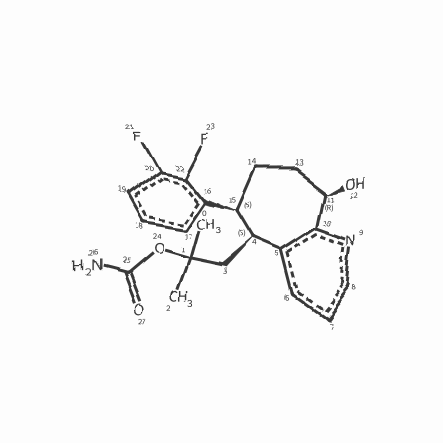 CC(C)(C[C@@H]1c2cccnc2[C@H](O)CC[C@@H]1c1cccc(F)c1F)OC(N)=O